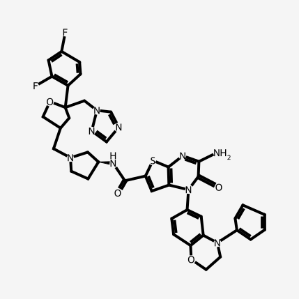 Nc1nc2sc(C(=O)N[C@H]3CCN(CC4COC(Cn5cncn5)(c5ccc(F)cc5F)C4)C3)cc2n(-c2ccc3c(c2)N(c2ccccc2)CCO3)c1=O